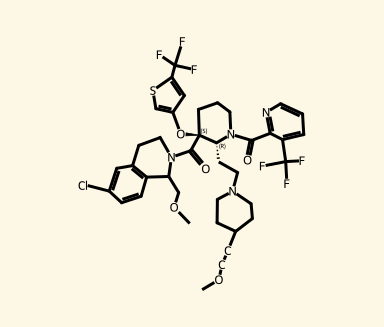 COCCC1CCN(CC[C@H]2N(C(=O)c3ncccc3C(F)(F)F)CCC[C@@]2(Oc2csc(C(F)(F)F)c2)C(=O)N2CCc3cc(Cl)ccc3C2COC)CC1